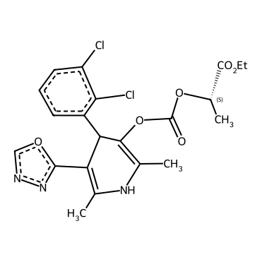 CCOC(=O)[C@H](C)OC(=O)OC1=C(C)NC(C)=C(c2nnco2)C1c1cccc(Cl)c1Cl